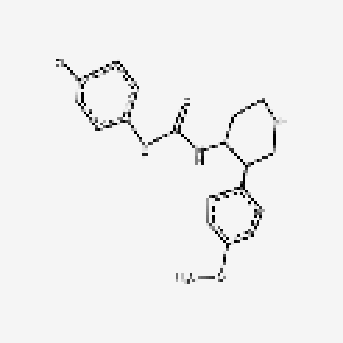 COc1ccc([C@@H]2CNCCC2NC(=O)Nc2ccc(Cl)cc2)cc1